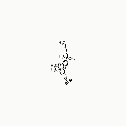 CCCCCCC(C)(C)c1ccc2c(c1)OC(C)(C)[C@@]1(O)CC[C@@H](CO[N+](=O)[O-])C[C@H]21